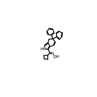 ON=C(c1[nH]cc2c1C=CC(c1ccccc1)(c1ccccc1)C2)C1CCC1